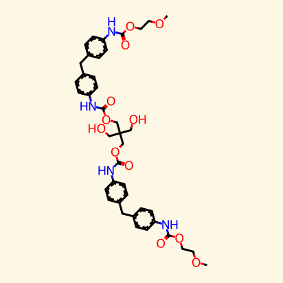 COCCOC(=O)Nc1ccc(Cc2ccc(NC(=O)OCC(CO)(CO)COC(=O)Nc3ccc(Cc4ccc(NC(=O)OCCOC)cc4)cc3)cc2)cc1